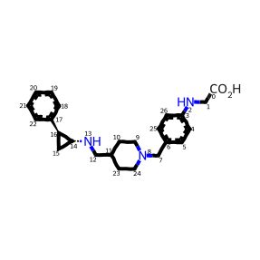 O=C(O)CNc1ccc(CN2CCC(CN[C@@H]3C[C@H]3c3ccccc3)CC2)cc1